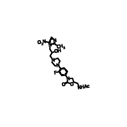 CC(=O)NCC1CN(c2ccc(N3CCN(CC(O)Cn4c([N+](=O)[O-])cnc4C)CC3)c(F)c2)C(=O)O1